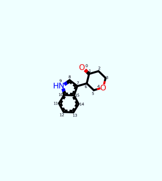 O=C1CCOCC1c1c[nH]c2ccccc12